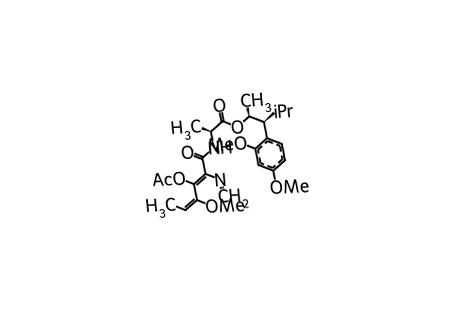 C=N/C(C(=O)N[C@@H](C)C(=O)O[C@@H](C)[C@H](c1ccc(OC)cc1OC)C(C)C)=C(OC(C)=O)\C(=C/C)OC